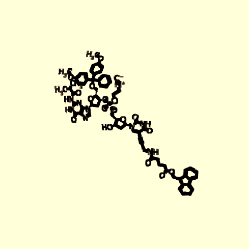 [C-]#[N+]CCOP(=O)(OC[C@H]1O[C@@H](n2cc(C#CCNC(=O)CCCC(=O)OCC3c4ccccc4-c4ccccc43)c(=O)[nH]c2=O)C[C@H]1O)O[C@@H]1C[C@H](n2cnc3c(=O)[nH]c(NC(=O)C(C)C)nc32)O[C@@H]1COC(c1ccccc1)(c1ccc(OC)cc1)c1ccc(OC)cc1